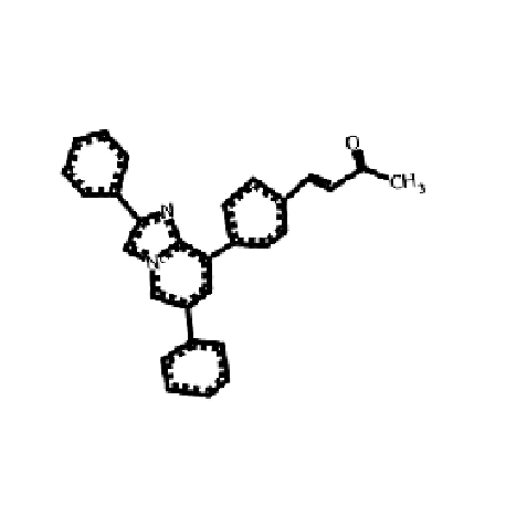 CC(=O)C=Cc1ccc(-c2cc(-c3ccccc3)cn3cc(-c4ccccc4)nc23)cc1